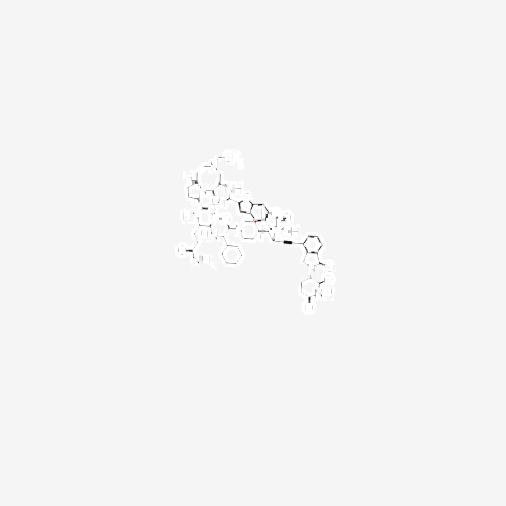 NC(=O)CCC(NC(=O)[C@@H]1CC[C@@H]2CCN(CC(F)(F)F)C[C@H](NC(=O)c3cc4cc(C(F)(F)P(=O)(O)O)ccc4s3)C(=O)N21)C(=O)NC(C(=O)N1CCC(CCC#Cc2cccc3c2CN(C2CCC(=O)NC2=O)C3=O)CC1)C1CCCCC1